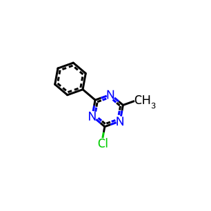 Cc1nc(Cl)nc(-c2ccccc2)n1